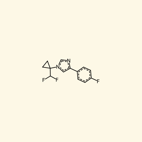 Fc1ccc(-c2cn(C3(C(F)F)CC3)cn2)cc1